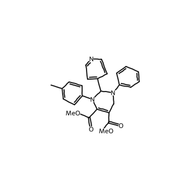 COC(=O)C1=C(C(=O)OC)N(c2ccc(C)cc2)C(c2ccncc2)N(c2ccccc2)C1